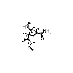 CCNC(=O)C(C)([CH]C(C)C(N)=O)C(=O)NC